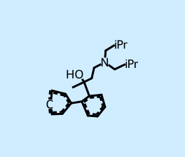 CC(C)CN(CCC(C)(O)c1ccccc1-c1ccccc1)CC(C)C